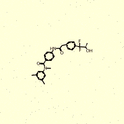 Cc1cc(C)cc(N(C)C(=O)c2ccc(NC(=O)Cc3ccc(C(F)(F)[C@@H](C)O)cc3)cc2)c1